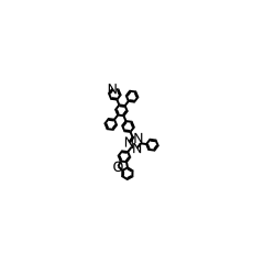 c1ccc(-c2nc(-c3ccc(-c4cc(-c5ccccc5)c(-c5ccncc5)cc4-c4ccccc4)cc3)nc(-c3ccc4oc5ccccc5c4c3)n2)cc1